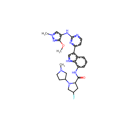 COc1nn(C)cc1Nc1nccc(-c2c[nH]c3c(NC(=O)C4CC(F)CN4C4CCN(C)C4)cccc23)n1